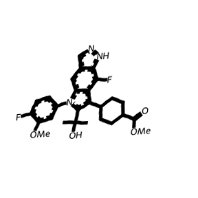 COC(=O)C1CCC(c2c(C(C)(C)O)n(-c3ccc(F)c(OC)c3)c3cc4cn[nH]c4c(F)c23)CC1